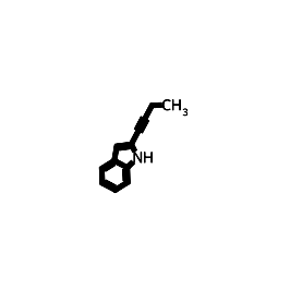 CCC#Cc1cc2ccccc2[nH]1